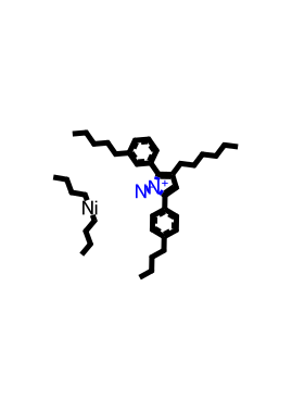 CCCCCCC1=C(c2cccc(CCCCC)c2)[N+](=[N-])C(c2ccc(CCCC)cc2)=C1.CCC[CH2][Ni][CH2]CCC